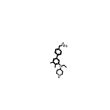 CCN(c1cc(-c2ccc(CNC)cc2)cc(C)c1C)C1CCN(C)CC1